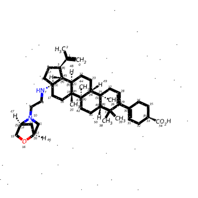 C=C(C)[C@@H]1CC[C@]2(NCCN3C[C@@H]4C[C@H]3CO4)CC[C@]3(C)[C@H](CC[C@@H]4[C@@]5(C)CC=C(C6=CC[C@H](C(=O)O)CC6)C(C)(C)[C@@H]5CC[C@]43C)[C@@H]12